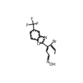 C\C=C(Br)/C(=C\C=N\O)c1nc2cc(C(F)(F)F)ccc2o1